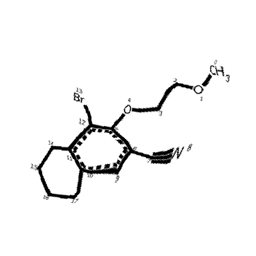 COCCOc1c(C#N)cc2c(c1Br)CCCC2